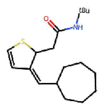 CC(C)(C)NC(=O)CC1SC=CC1=CC1CCCCCC1